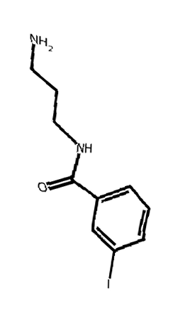 NCCCNC(=O)c1cccc(I)c1